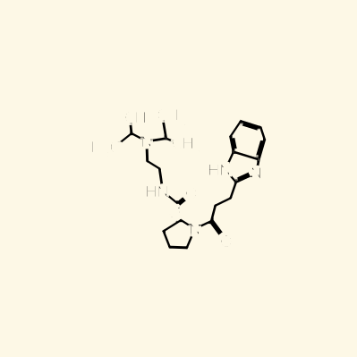 CC(C)N(CCNC(=O)[C@H]1CCCN1C(=O)CCc1nc2ccccc2[nH]1)C(C)C